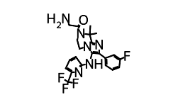 CC1(C)c2nc(-c3cccc(F)c3)c(Nc3cccc(C(F)(F)F)n3)n2CCN1C(=O)CN